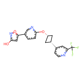 Oc1cc(-c2ccc(O[C@H]3C[C@@H](c4ccnc(C(F)(F)F)c4)C3)nc2)on1